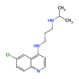 CC(C)NCCCNc1ccnc2ccc(Cl)cc12